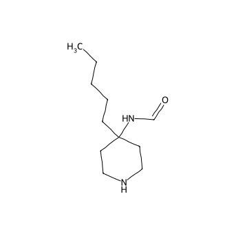 CCCCCC1(NC=O)CCNCC1